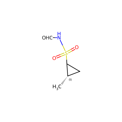 C[C@H]1CC1S(=O)(=O)NC=O